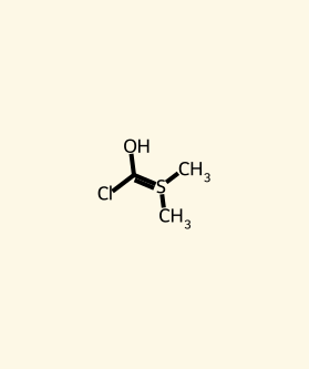 CS(C)=C(O)Cl